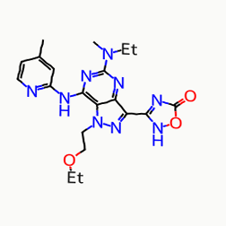 CCOCCn1nc(-c2nc(=O)o[nH]2)c2nc(N(C)CC)nc(Nc3cc(C)ccn3)c21